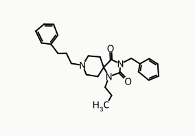 CCCN1C(=O)N(Cc2ccccc2)C(=O)C12CCN(CCCc1ccccc1)CC2